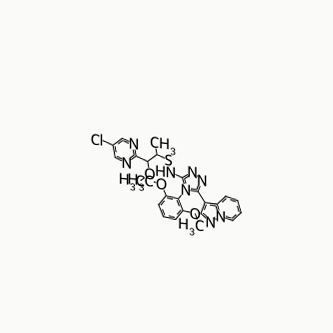 COc1cccc(OC)c1-n1c(NSC(C)C(OC)c2ncc(Cl)cn2)nnc1-c1cnn2ccccc12